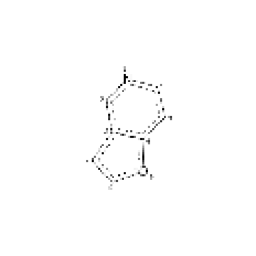 [c]1nccc2occc12